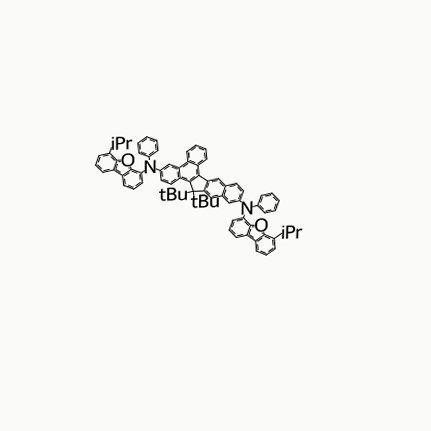 CC(C)c1cccc2c1oc1c(N(c3ccccc3)c3ccc4cc5c(cc4c3)C(C(C)(C)C)(C(C)(C)C)c3c-5c4ccccc4c4cc(N(c5ccccc5)c5cccc6c5oc5c(C(C)C)cccc56)ccc34)cccc12